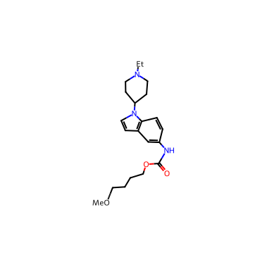 CCN1CCC(n2ccc3cc(NC(=O)OCCCCOC)ccc32)CC1